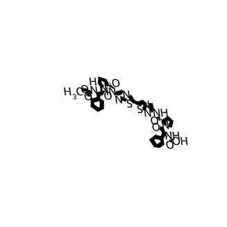 COC(=O)N[C@@H](C(=O)N1CCC[C@H]1C(=O)Nc1cn2cc(-c3cn4cc(NC(=O)[C@@H]5CCCN5C(=O)[C@H](NC(=O)O)c5ccccc5)nc4s3)sc2n1)c1ccccc1